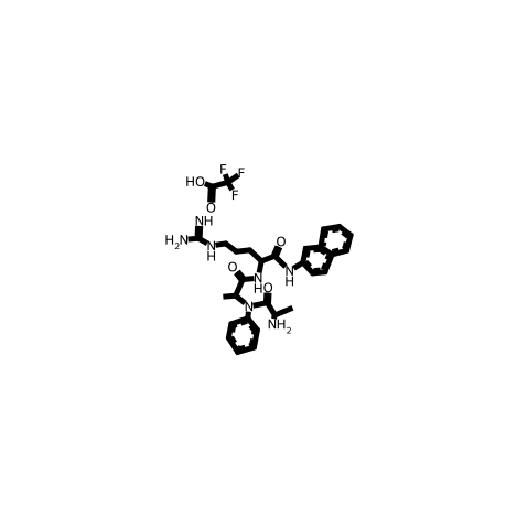 CC(N)C(=O)N(c1ccccc1)C(C)C(=O)NC(CCCNC(=N)N)C(=O)Nc1ccc2ccccc2c1.O=C(O)C(F)(F)F